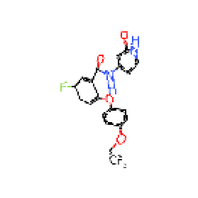 O=C(Nc1cc[nH]c(=O)c1)C1=CC(F)CC=C1Oc1ccc(OCC(F)(F)F)cc1